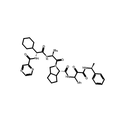 CCCC(NC(=O)[C@@H]1C2CCCC2CN1C(=O)[C@@H](NC(=O)[C@H](NC(=O)c1cnccn1)C1CCCCC1)C(C)(C)C)C(=O)C(=O)N[C@@H](C)c1ccccc1